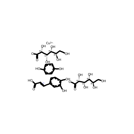 O=C(O)/C=C/c1ccc(O)c(O)c1.O=C([O-])[C@H](O)[C@@H](O)[C@H](O)[C@H](O)CO.O=C([O-])[C@H](O)[C@@H](O)[C@H](O)[C@H](O)CO.Oc1ccc(O)cc1.[Cu+2]